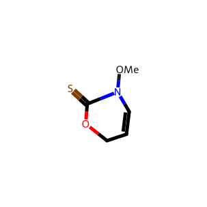 CON1C=CCOC1=S